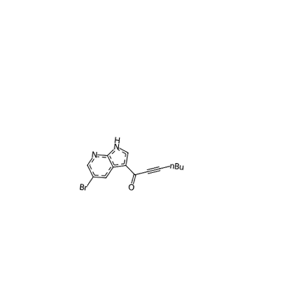 CCCCC#CC(=O)c1c[nH]c2ncc(Br)cc12